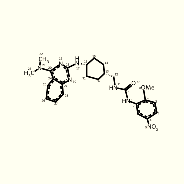 COc1ccc([N+](=O)[O-])cc1NC(=O)NC[C@H]1CC[C@@H](Nc2nc(N(C)C)c3ccccc3n2)CC1